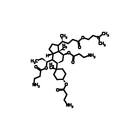 CC[C@@H](OC(=O)CCN)C1[C@@H]2CCC([C@H](C)CCC(=O)OCCN(C)C)[C@@]2(C)[C@@H](OC(=O)CCN)C[C@@H]1[C@]1(C)CC[C@H](OC(=O)CCN)CC1